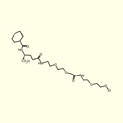 CCOCCOCCNC(=O)COCCOCCNC(=O)CC[C@H](NC(=O)C1CCCCC1)C(=O)O